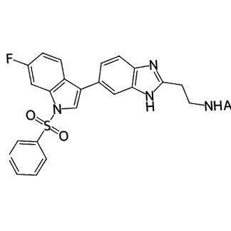 CC(=O)NCCc1nc2ccc(-c3cn(S(=O)(=O)c4ccccc4)c4cc(F)ccc34)cc2[nH]1